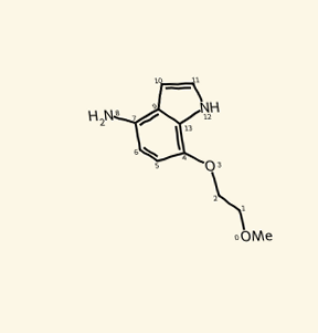 COCCOc1ccc(N)c2cc[nH]c12